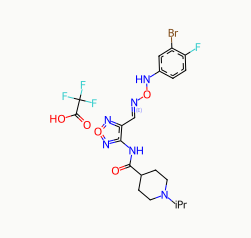 CC(C)N1CCC(C(=O)Nc2nonc2/C=N/ONc2ccc(F)c(Br)c2)CC1.O=C(O)C(F)(F)F